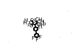 CCc1cc(-c2cc(F)c(F)c(F)c2)ccc1C1=C(O)C(C)(C)SC(C)(C)C1=O